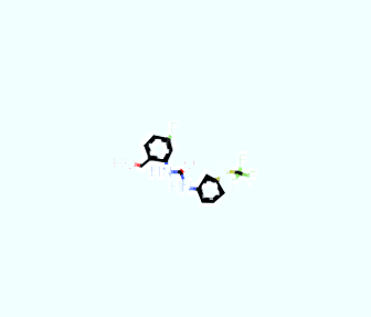 O=C(Nc1cccc(SC(F)(F)F)c1)Nc1cc(F)ccc1CO